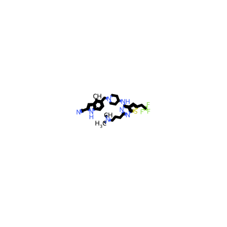 Cc1c(CN2CCC(Nc3nc(CCCN(C)C)nc4sc(CC(F)(F)F)cc34)CC2)ccc2[nH]c(C#N)cc12